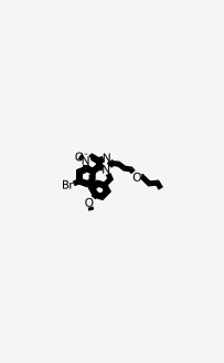 CCCCOCCCc1nc2c[n+]([O-])c3cc(Br)ccc3c2n1Cc1ccc(OC)cc1